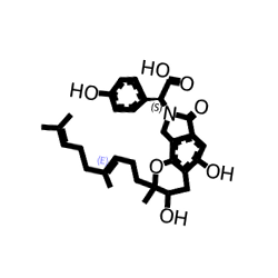 CC(C)=CCC/C(C)=C/CCC1(C)Oc2c(c(O)cc3c2CN([C@H](C(=O)O)c2ccc(O)cc2)C3=O)CC1O